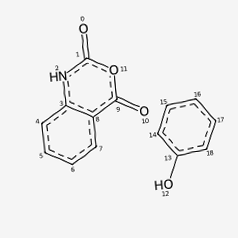 O=c1[nH]c2ccccc2c(=O)o1.Oc1ccccc1